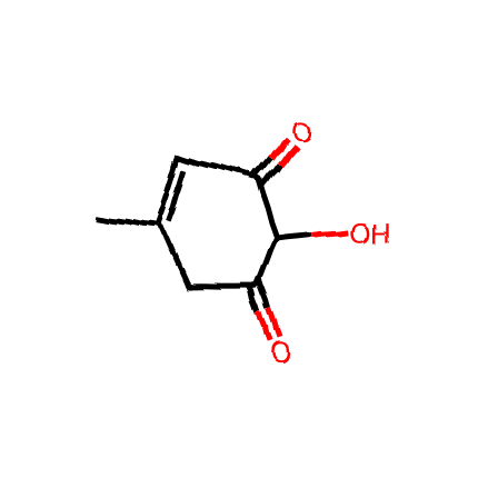 CC1=CC(=O)C(O)C(=O)C1